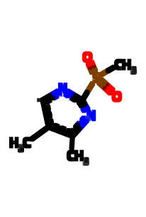 Cc1[c]nc(S(C)(=O)=O)nc1C